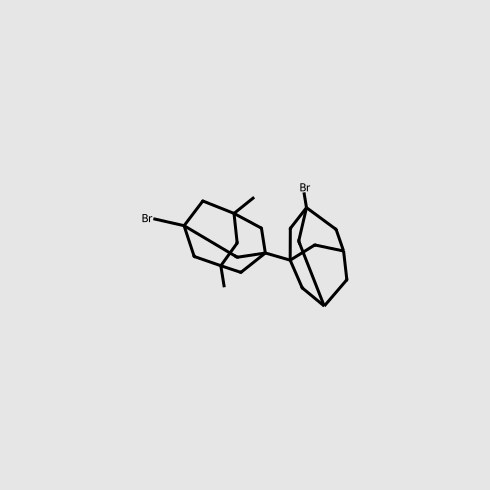 CC12CC3(C)CC(Br)(C1)CC(C14CC5CC(CC(Br)(C5)C1)C4)(C2)C3